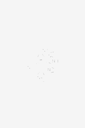 CN(C)CCOc1ccc(N2CCC[C@@H]2c2csc(NC(=O)c3cccn3Cc3ccnc(F)c3)n2)cc1